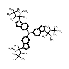 CC(C(C)(C)C)C(C)(O[SiH3])n1ccc2c[c]([Bi]([c]3ccc4c(ccn4C(C)(O[SiH3])C(C)C(C)(C)C)c3)[c]3ccc4c(ccn4C(C)(O[SiH3])C(C)C(C)(C)C)c3)ccc21